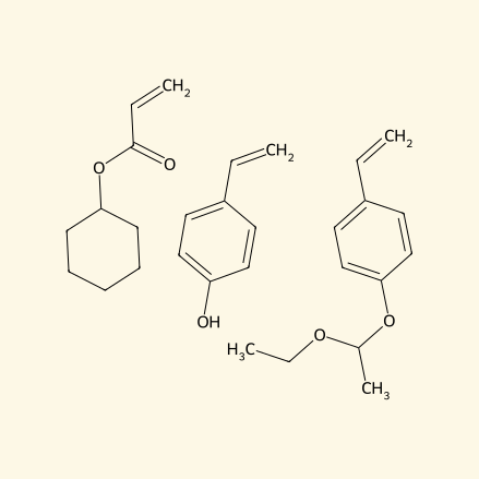 C=CC(=O)OC1CCCCC1.C=Cc1ccc(O)cc1.C=Cc1ccc(OC(C)OCC)cc1